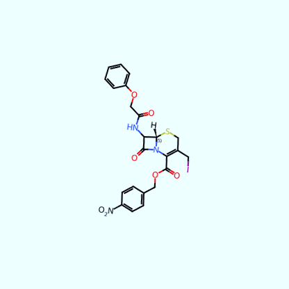 O=C(COc1ccccc1)NC1C(=O)N2C(C(=O)OCc3ccc([N+](=O)[O-])cc3)=C(CI)CS[C@@H]12